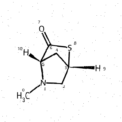 CN1C[C@@H]2C[C@H]1C(=O)S2